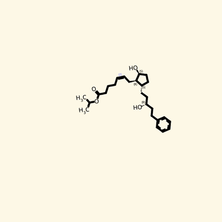 CC(C)OC(=O)CCC/C=C\C[C@@H]1[C@@H](CC[C@@H](O)CCc2ccccc2)CC[C@@H]1O